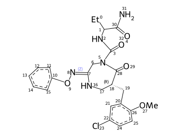 CCC(NC(=O)N1C/C(=N/Oc2ccccc2)NC[C@@H](Cc2cc(Cl)ccc2OC)C1=O)C(N)=O